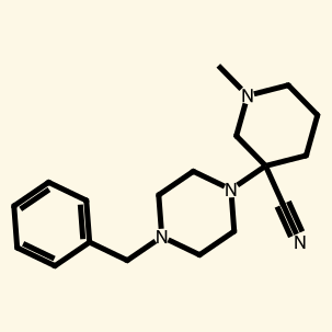 CN1CCCC(C#N)(N2CCN(Cc3ccccc3)CC2)C1